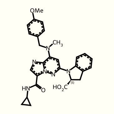 COc1ccc(CN(C)c2cc(N3c4ccccc4C[C@H]3C(=O)O)nn3c(C(=O)NC4CC4)cnc23)cc1